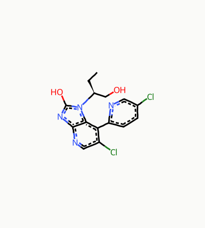 CC[C@@H](CO)n1c(O)nc2ncc(Cl)c(-c3ccc(Cl)cn3)c21